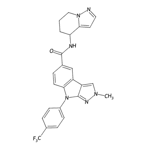 Cn1cc2c3cc(C(=O)NC4CCCn5nccc54)ccc3n(-c3ccc(C(F)(F)F)cc3)c2n1